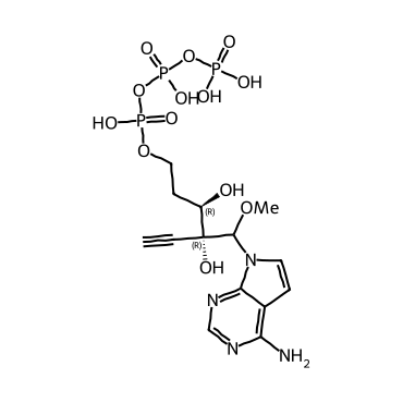 C#C[C@](O)(C(OC)n1ccc2c(N)ncnc21)[C@H](O)CCOP(=O)(O)OP(=O)(O)OP(=O)(O)O